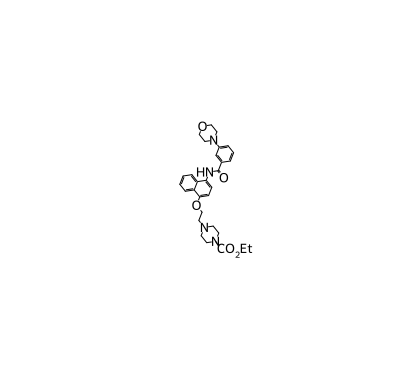 CCOC(=O)N1CCN(CCOc2ccc(NC(=O)c3cccc(N4CCOCC4)c3)c3ccccc23)CC1